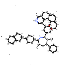 CCC1C(c2cccc(-c3cncc4ccc5ccc6ccccc6c5c34)c2)=NC(c2ccc(-c3ccc4ccccc4c3)cc2)C(C)CC1c1ccccc1